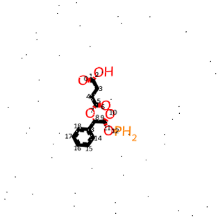 O=C(O)CCC(=O)O[C@H](C(=O)OP)c1ccccc1